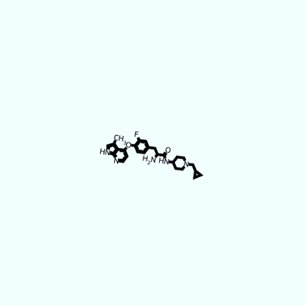 Cc1c[nH]c2nccc(Oc3ccc(CC(N)C(=O)NC4CCN(CC5CC5)CC4)cc3F)c12